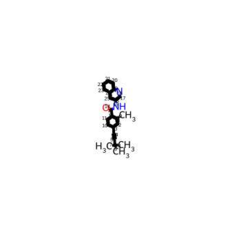 Cc1cc(C#CC(C)(C)C)ccc1C(=O)Nc1cnc2ccccc2c1